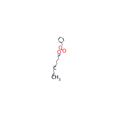 C/C=C/CCCCCC/C=C/OC(=O)OCc1ccccc1